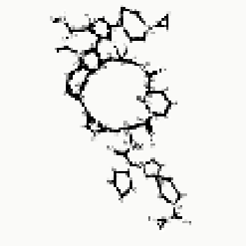 CCn1c(-c2cc(N3CCN(C4CC4)CC3)cnc2[C@H](C)OC)c2c3cc(ccc31)-c1csc(n1)C[C@H](NC(=O)[C@H](C1CCCC1)N1CC[C@]3(CCN(C(=O)[C@H]4CN4)C3)C1)C(=O)N1CCC[C@H](N1)C(=O)OCC(C)(C)C2